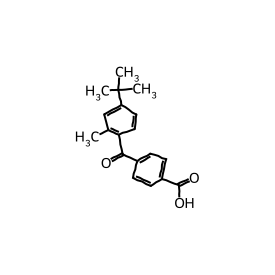 Cc1cc(C(C)(C)C)ccc1C(=O)c1ccc(C(=O)O)cc1